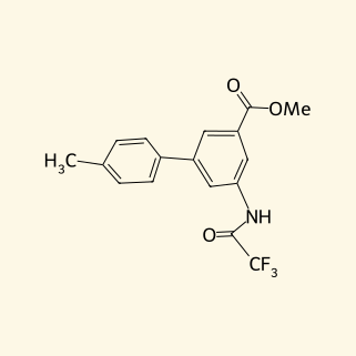 COC(=O)c1cc(NC(=O)C(F)(F)F)cc(-c2ccc(C)cc2)c1